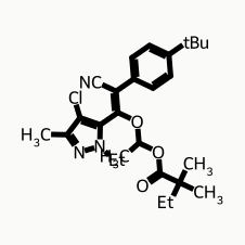 CCn1nc(C)c(Cl)c1/C(OC(C)OC(=O)C(C)(C)CC)=C(\C#N)c1ccc(C(C)(C)C)cc1